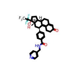 C[C@]12C[C@H](c3ccc(C(=O)NCc4ccncc4)cc3)C3=C4CCC(=O)C=C4CC[C@H]3[C@@H]1CC[C@@]2(O)C(F)(F)C(F)(F)F